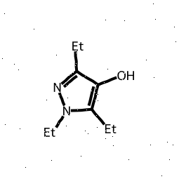 CCc1nn(CC)c(CC)c1O